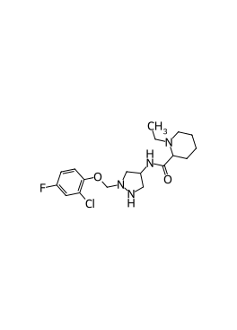 CCN1CCCCC1C(=O)NC1CNN(COc2ccc(F)cc2Cl)C1